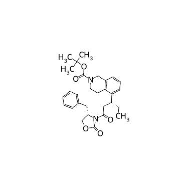 CC[C@H](CC(=O)N1C(=O)OC[C@@H]1Cc1ccccc1)c1cccc2c1CCN(C(=O)OC(C)(C)C)C2